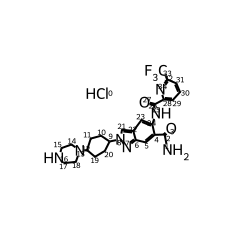 Cl.NC(=O)c1cc2nn(C3CCC(N4CCNCC4)CC3)cc2cc1NC(=O)c1cccc(C(F)(F)F)n1